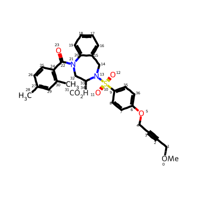 COCC#CCOc1ccc(S(=O)(=O)N2Cc3ccccc3N(C(=O)c3ccc(C)cc3C)CC2C(=O)O)cc1